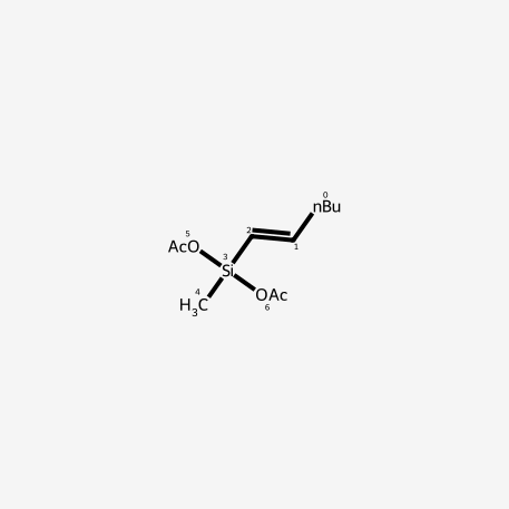 CCCC/C=C/[Si](C)(OC(C)=O)OC(C)=O